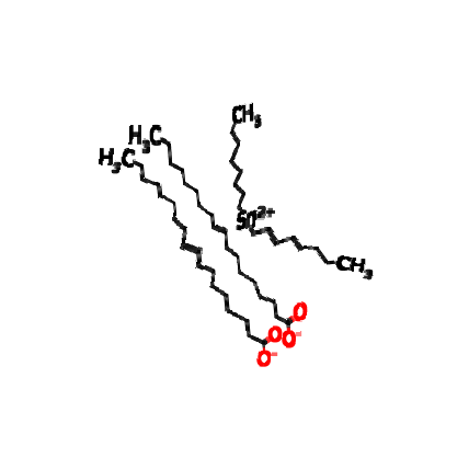 CCCCCCCCC=CCCCCCCCC(=O)[O-].CCCCCCCCC=CCCCCCCCC(=O)[O-].CCCCCCC[CH2][Sn+2][CH2]CCCCCCC